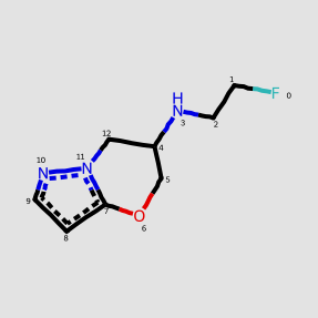 FCCNC1COc2ccnn2C1